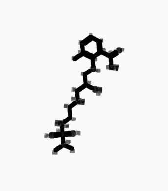 Cc1cccc(C(=O)O)c1OCC(O)CNCCNS(=O)(=O)N(C)C